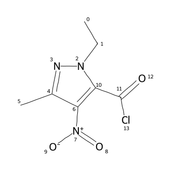 CCn1nc(C)c([N+](=O)[O-])c1C(=O)Cl